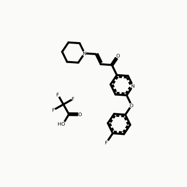 O=C(C=CN1CCCCC1)c1ccc(Oc2ccc(F)cc2)nc1.O=C(O)C(F)(F)F